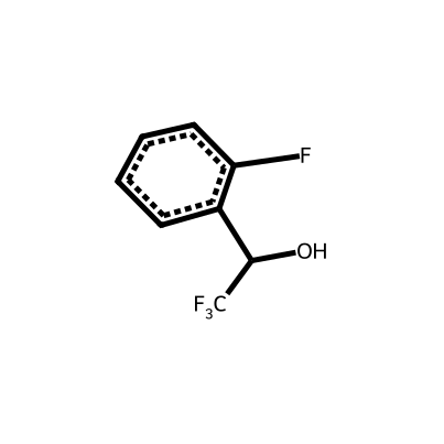 OC(c1ccccc1F)C(F)(F)F